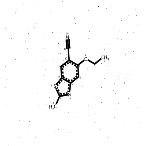 CCOc1cc2nc(C)sc2cc1C#N